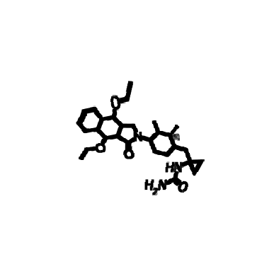 CCOC1C2CC=CCC2C(OCC)C2C(=O)N(C3CCC(CC4(NC(N)=O)CC4)[C@H](C)C3C)CC12